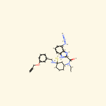 C#CCOc1cccc(CNC2(S)CCC[C@H](N(CC)C(=O)c3nc4c(N=[N+]=[N-])cccc4[nH]3)C2)c1